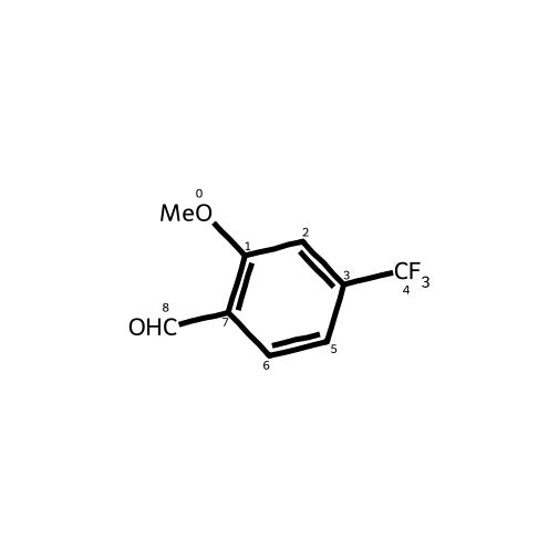 COc1cc(C(F)(F)F)ccc1C=O